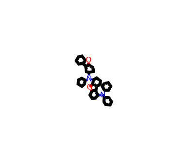 c1ccc(N(c2ccc3oc4ccccc4c3c2)c2cccc3c2oc2cccc(N(c4ccccc4)c4ccccc4)c23)cc1